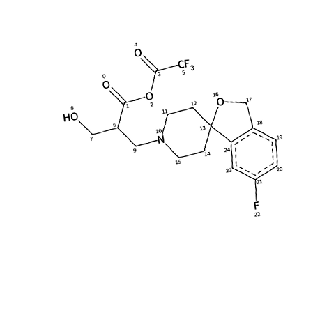 O=C(OC(=O)C(F)(F)F)C(CO)CN1CCC2(CC1)OCc1ccc(F)cc12